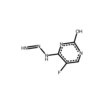 N=NNc1nc(O)ncc1F